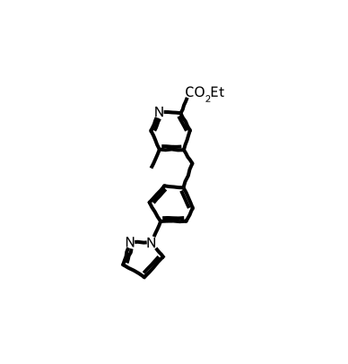 CCOC(=O)c1cc(Cc2ccc(-n3cccn3)cc2)c(C)cn1